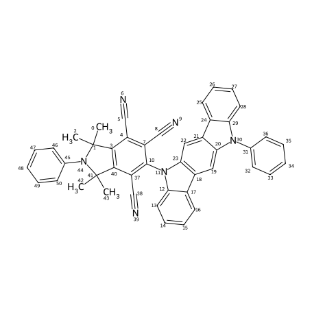 CC1(C)c2c(C#N)c(C#N)c(-n3c4ccccc4c4cc5c(cc43)c3ccccc3n5-c3ccccc3)c(C#N)c2C(C)(C)N1c1ccccc1